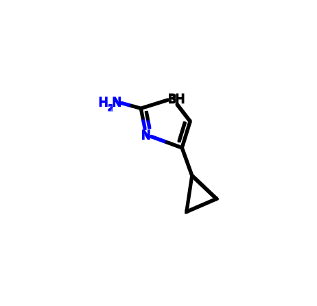 NC1=NC(C2CC2)=CB1